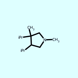 CC(C)C1CN(C)CC1(C)C(C)C